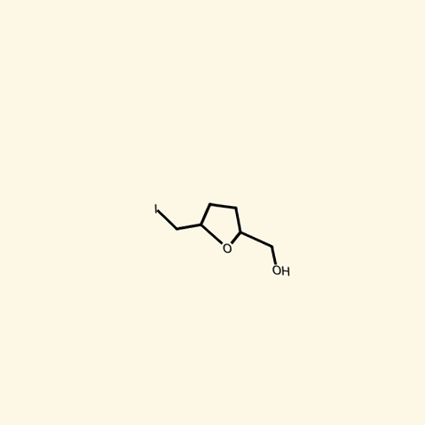 OCC1CCC(CI)O1